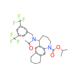 CC(=O)N(Cc1cc(C(F)(F)F)cc(C(F)(F)F)c1)C1CCCN(C(=O)OC(C)C)c2cc3c(cc21)CCCC3